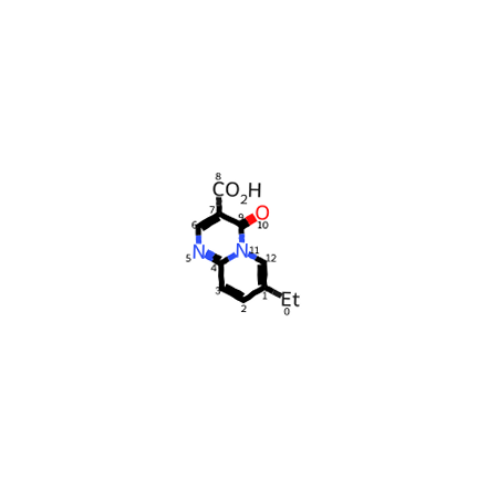 CCc1ccc2ncc(C(=O)O)c(=O)n2c1